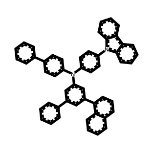 c1ccc(-c2ccc(N(c3ccc(-n4c5ccccc5c5ccccc54)cc3)c3cc(-c4ccccc4)cc(-c4cccc5ccccc45)c3)cc2)cc1